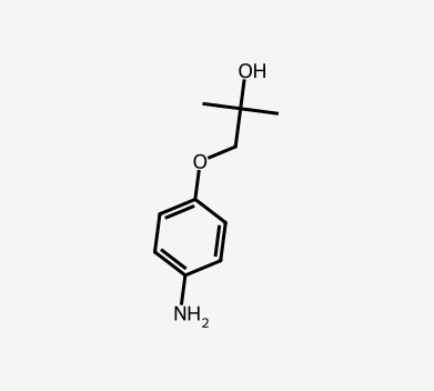 CC(C)(O)COc1ccc(N)cc1